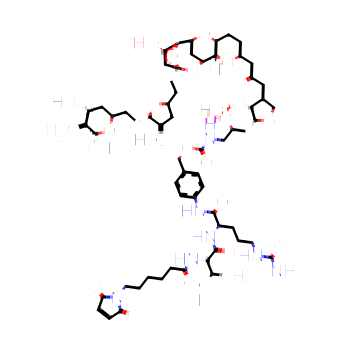 C=C1CC(CC[C@]23C[C@@H](O)C(O2)C2CC(O3)[C@H]3OC(CC(=O)CC4CO[C@H](CC(O)CNC(=O)OCc5ccc(NC(=O)C(CCCNC(N)=O)NC(=O)[C@@H](NC(=O)CCCCCN6C(=O)C=CC6=O)C(C)C)cc5)[C@@H]4OC)CCC3O2)O[C@H]1CCC1C[C@@H](C)C(=C)[C@@H](C)O1